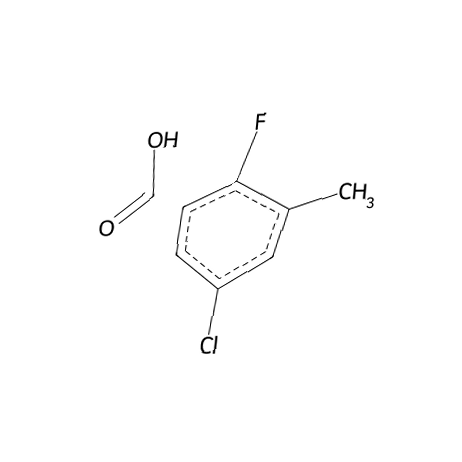 Cc1cc(Cl)ccc1F.O=CO